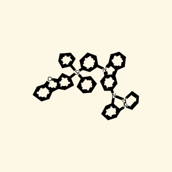 C1=CN2c3ccccc3N(c3ccc4c(c3)c3ccccc3n4-c3cccc([Si](c4ccccc4)(c4ccccc4)c4ccc5c(c4)oc4ccccc45)c3)N2C=C1